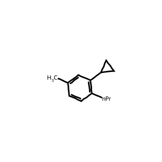 CCCc1ccc(C)cc1C1CC1